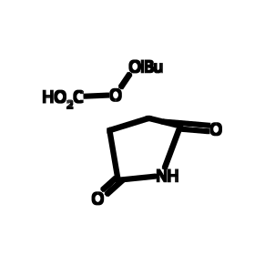 CC(C)COOC(=O)O.O=C1CCC(=O)N1